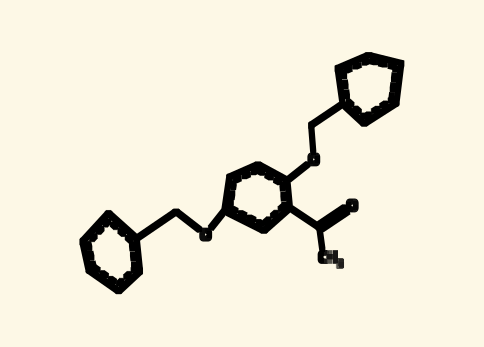 CC(=O)c1cc(OCc2ccccc2)ccc1OCc1ccccc1